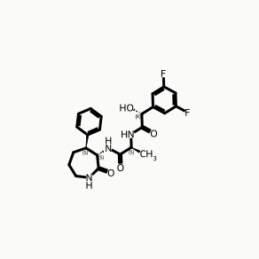 C[C@H](NC(=O)[C@H](O)c1cc(F)cc(F)c1)C(=O)N[C@@H]1C(=O)NCCC[C@H]1c1ccccc1